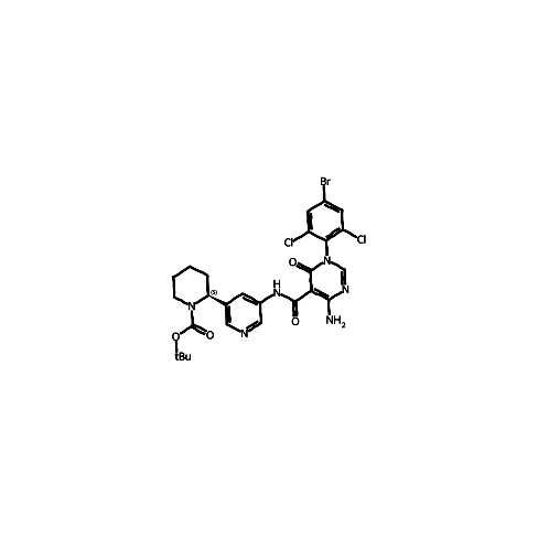 CC(C)(C)OC(=O)N1CCCC[C@H]1c1cncc(NC(=O)c2c(N)ncn(-c3c(Cl)cc(Br)cc3Cl)c2=O)c1